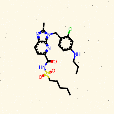 CCCCCS(=O)(=O)NC(=O)c1ccc2nc(C)n(Cc3ccc(NCCC)cc3Cl)c2n1